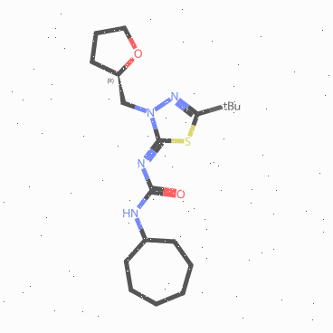 CC(C)(C)c1nn(C[C@H]2CCCO2)c(=NC(=O)NC2CCCCCC2)s1